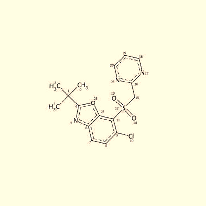 CC(C)(C)c1nc2ccc(Cl)c(S(=O)(=O)Cc3ncccn3)c2o1